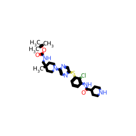 CC1(CNC(=O)OC(C)(C)C)CCN(c2cnc(Sc3cccc(NC(=O)C4CCNCC4)c3Cl)cn2)CC1